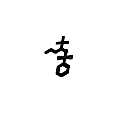 CCCC(OS(=O)(=O)c1ccccc1)C(C)(C)C